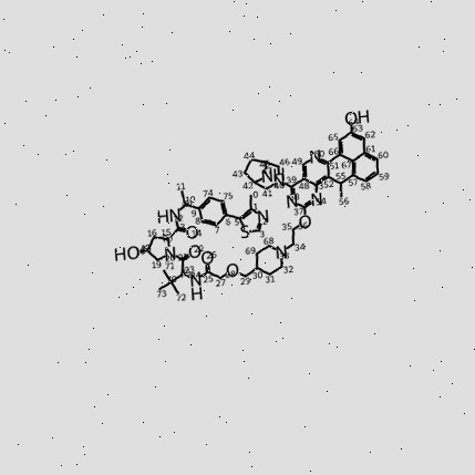 Cc1ncsc1-c1ccc([C@H](C)NC(=O)[C@@H]2C[C@H](O)CN2C(=O)[C@@H](NC(=O)COCC2CCN(CCOc3nc(N4CC5CCC(C4)N5)c4cnc5c(c4n3)C(C)c3cccc4cc(O)cc-5c34)CC2)C(C)(C)C)cc1